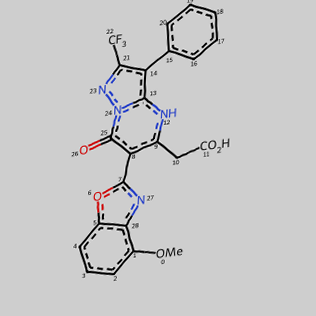 COc1cccc2oc(-c3c(CC(=O)O)[nH]c4c(-c5ccccc5)c(C(F)(F)F)nn4c3=O)nc12